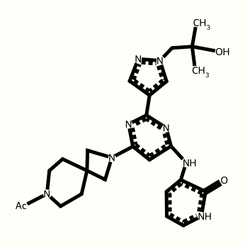 CC(=O)N1CCC2(CC1)CN(c1cc(Nc3ccc[nH]c3=O)nc(-c3cnn(CC(C)(C)O)c3)n1)C2